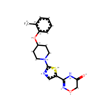 O=C1CON=C(c2cnc(N3CCC(Oc4ccccc4C(F)(F)F)CC3)s2)N1